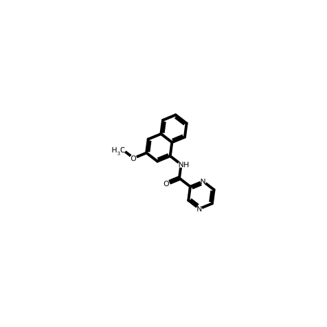 COc1cc(NC(=O)c2cnccn2)c2ccccc2c1